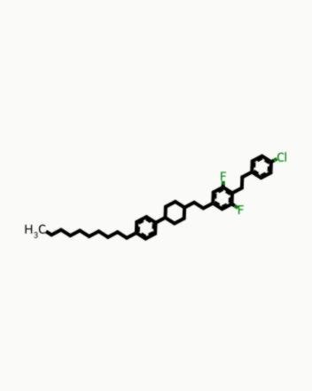 CCCCCCCCCCc1ccc(C2CCC(CCc3cc(F)c(CCc4ccc(Cl)cc4)c(F)c3)CC2)cc1